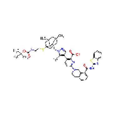 Cc1c(-c2ccc(N3CCc4cccc(C(=O)Nc5nc6ccccc6s5)c4C3)nc2C(=O)O)cnn1CC12CC3(C)CC(C)(C1)CC(SCCNC(=O)OC(C)(C)C)(C3)C2